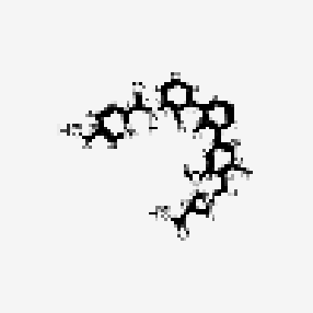 COc1cc(-c2cccc(-c3cccc(NC(=O)c4ccc(CO)cn4)c3C)c2C)cc(F)c1CN1CC(C(=O)O)C1